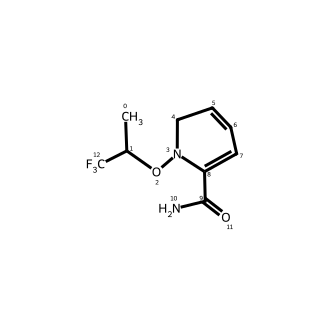 CC(ON1CC=CC=C1C(N)=O)C(F)(F)F